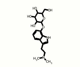 CN(C)CCc1c[nH]c2c(OC3OC(CO)C(O)C(O)C3O)cccc12